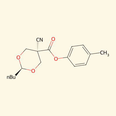 CCCC[C@H]1OC[C@@](C#N)(C(=O)Oc2ccc(C)cc2)CO1